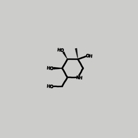 C[C@]1(O)CNC(CO)[C@@H](O)[C@@H]1O